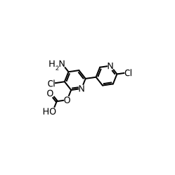 Nc1cc(-c2ccc(Cl)nc2)nc(OC(=O)O)c1Cl